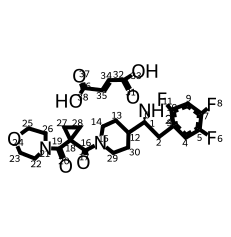 N[C@H](Cc1cc(F)c(F)cc1F)C1CCN(C(=O)C2(C(=O)N3CCOCC3)CC2)CC1.O=C(O)C=CC(=O)O